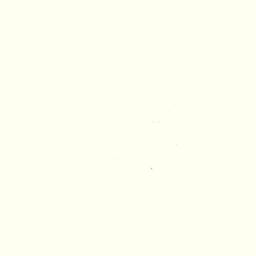 CC(C)C12C=CC(C)(CC1)C(OC(=O)c1ccccc1)C2OC(=O)c1ccccc1